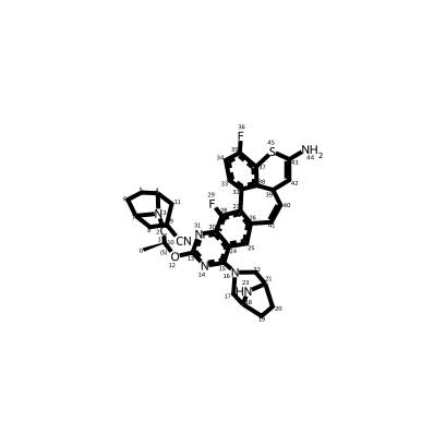 C[C@@H](CN1C2CCC1CC(C#N)C2)Oc1nc(N2CC3CCC(C2)N3)c2cc3c(c(F)c2n1)-c1ccc(F)c2c1C(C=C3)C=C(N)S2